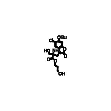 CC(C)COc1cc2oc(=O)n(CC(N)(CO)C(=O)OCCCO)c2cc1Cl